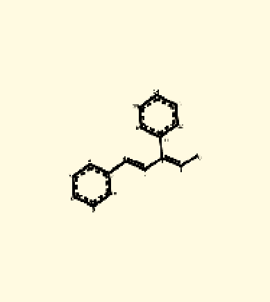 CC=C(C=Cc1ccccc1)c1ccccc1